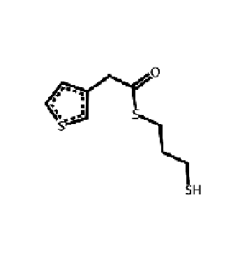 O=C(Cc1ccsc1)SCCCS